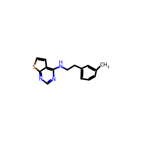 Cc1cccc(CCNc2ncnc3sccc23)c1